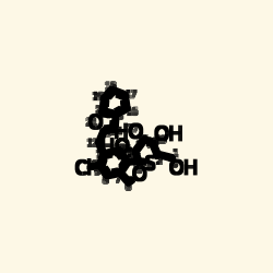 OCC1S[C@]2(OCc3cc(Cl)c(Cc4cc5ccccc5o4)cc32)[C@H](O)C(O)[C@@H]1O